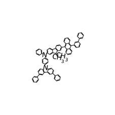 CC1(C)c2cc(-c3c4ccccc4c(-c4cccc(-c5ccccc5)c4)c4ccccc34)ccc2-c2ccc(N(c3ccccc3)c3ccc(-n4c5ccc(-c6ccccc6)cc5c5cc(-c6ccccc6)ccc54)cc3)cc21